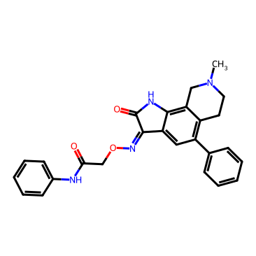 CN1CCc2c(-c3ccccc3)cc3c(c2C1)NC(=O)C3=NOCC(=O)Nc1ccccc1